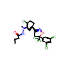 CCCC(=O)NN(C)C1=C(Cl)CCC(C2=NOC(c3cc(Cl)cc(Cl)c3)(C(F)(F)F)C2)=C1